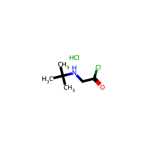 CC(C)(C)NCC(=O)Cl.Cl